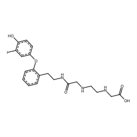 O=C(O)CNCCNCC(=O)NCCc1ccccc1Oc1ccc(O)c(I)c1